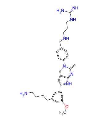 C=C1N=c2[nH]c(-c3cc(CCCCN)cc(OC(F)(F)F)c3)cc2=CN1c1ccc(CNCCCNC(=N)N)cc1